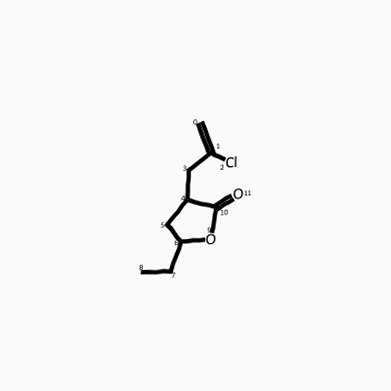 C=C(Cl)CC1CC(CC)OC1=O